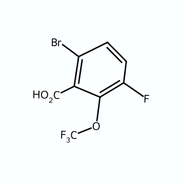 O=C(O)c1c(Br)ccc(F)c1OC(F)(F)F